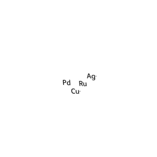 [Ag].[Cu].[Pd].[Ru]